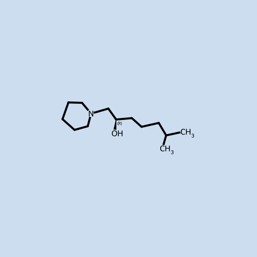 CC(C)CCC[C@@H](O)CN1CCCCC1